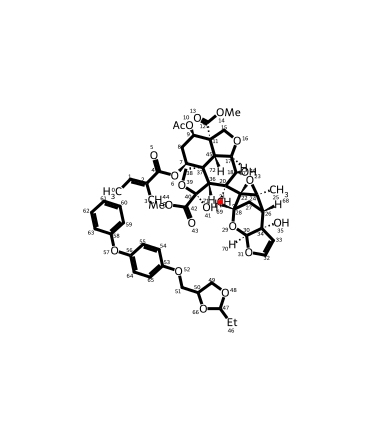 C/C=C(\C)C(=O)O[C@H]1C[C@@H](OC(C)=O)[C@@]2(C(=O)OC)CO[C@H]3[C@@H](O)[C@@](C)([C@]45O[C@@]4(C)[C@H]4C[C@@H]5O[C@@H]5OC=C[C@@]54O)[C@H]4[C@]1(CO[C@]4(O)C(=O)OC)[C@@H]32.CCC1OCC(COc2ccc(Oc3ccccc3)cc2)O1